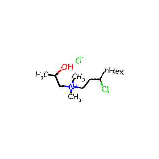 CCCCCCC(Cl)CC[N+](C)(C)CC(C)O.[Cl-]